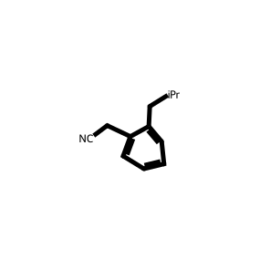 CC(C)Cc1ccccc1CC#N